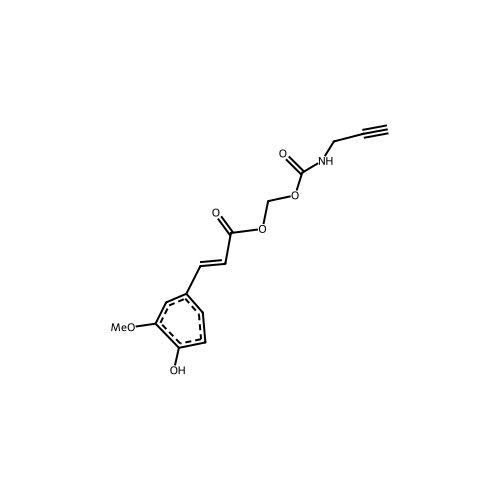 C#CCNC(=O)OCOC(=O)/C=C/c1ccc(O)c(OC)c1